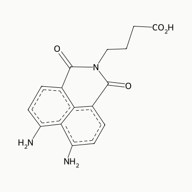 Nc1ccc2c3c(ccc(N)c13)C(=O)N(CCCC(=O)O)C2=O